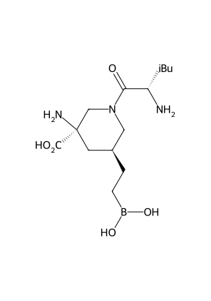 CCC(C)[C@H](N)C(=O)N1C[C@@H](CCB(O)O)C[C@](N)(C(=O)O)C1